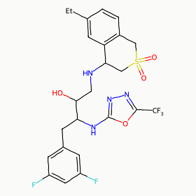 CCc1ccc2c(c1)C(NCC(O)C(Cc1cc(F)cc(F)c1)Nc1nnc(C(F)(F)F)o1)CS(=O)(=O)C2